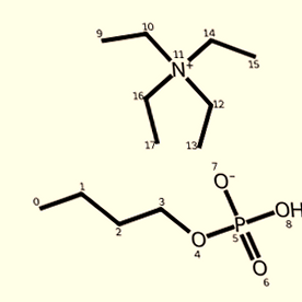 CCCCOP(=O)([O-])O.CC[N+](CC)(CC)CC